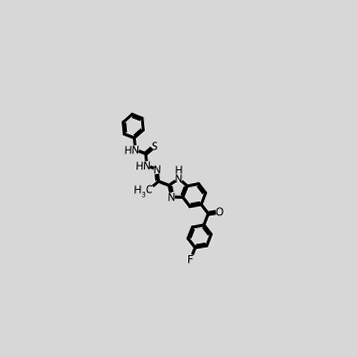 C/C(=N\NC(=S)Nc1ccccc1)c1nc2cc(C(=O)c3ccc(F)cc3)ccc2[nH]1